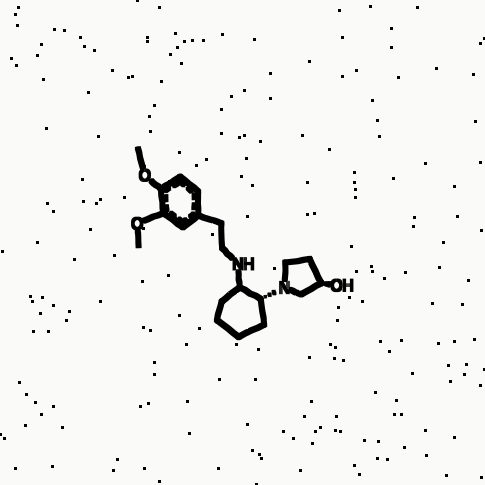 COc1ccc(CCNC2CCCC[C@H]2N2CC[C@@H](O)C2)cc1OC